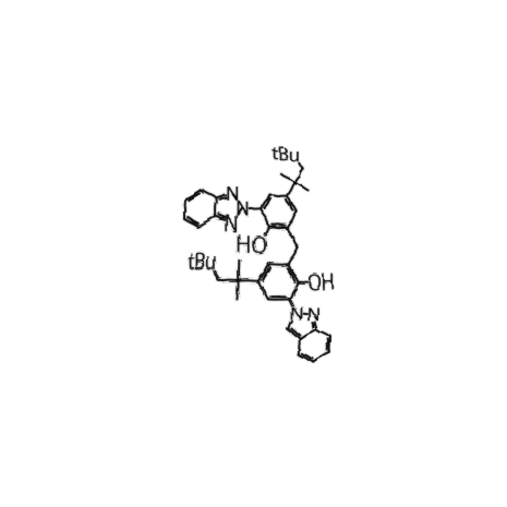 CC(C)(C)CC(C)(C)c1cc(Cc2cc(C(C)(C)CC(C)(C)C)cc(-n3nc4ccccc4n3)c2O)c(O)c(-n2cc3ccccc3n2)c1